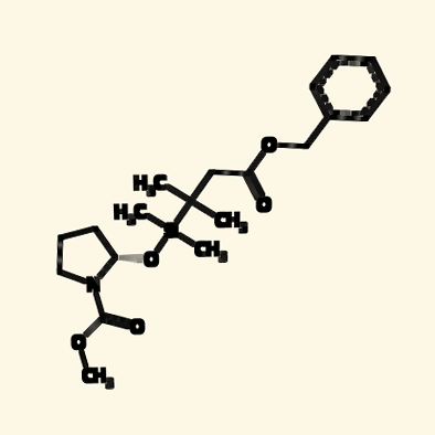 COC(=O)N1CCC[C@@H]1O[Si](C)(C)C(C)(C)CC(=O)OCc1ccccc1